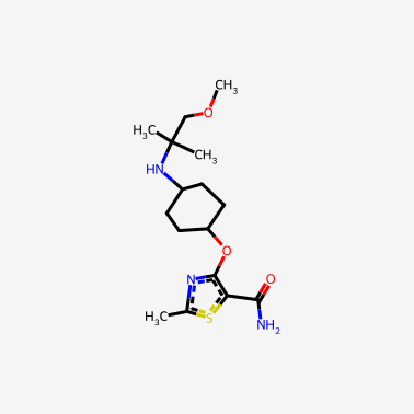 COCC(C)(C)NC1CCC(Oc2nc(C)sc2C(N)=O)CC1